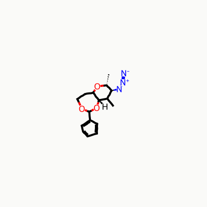 CC1[C@@H]2OC(c3ccccc3)OCCC2O[C@H](C)[C@H]1N=[N+]=[N-]